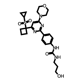 O=C(NCCCO)Nc1ccc(-c2nc(N3CCOCC3)cc(C3(S(=O)(=O)C4CC4)CCC3)n2)cc1